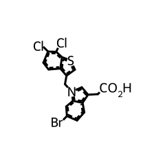 O=C(O)Cc1cn(Cc2csc3c(Cl)c(Cl)ccc23)c2cc(Br)ccc12